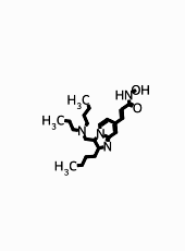 CCCCC1N=C2C=C(/C=C/C(=O)NO)C=CN2C1CN(CCC)CCCC